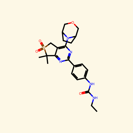 CCNC(=O)Nc1ccc(-c2nc(N3C4CCC3COC4)c3c(n2)C(C)(C)S(=O)(=O)C3)cc1